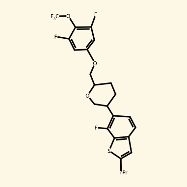 CCCc1cc2ccc(C3CCC(COc4cc(F)c(OC(F)(F)F)c(F)c4)OC3)c(F)c2s1